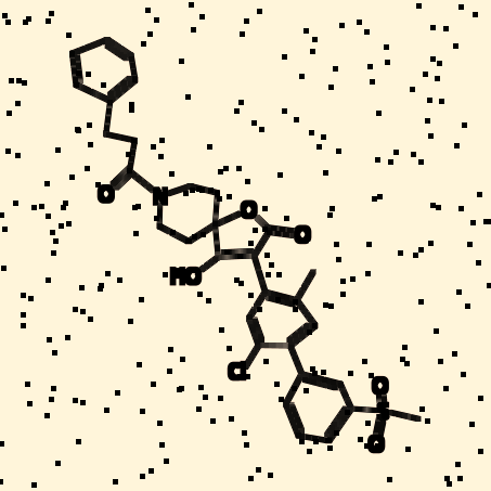 Cc1cc(-c2cccc(S(C)(=O)=O)c2)c(Cl)cc1C1=C(O)C2(CCN(C(=O)CCc3ccccc3)CC2)OC1=O